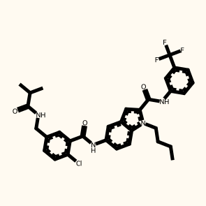 CCCCn1c(C(=O)Nc2cccc(C(F)(F)F)c2)cc2cc(NC(=O)c3cc(CNC(=O)C(C)C)ccc3Cl)ccc21